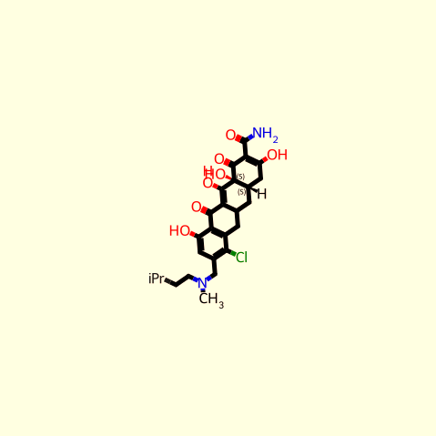 CC(C)CCN(C)Cc1cc(O)c2c(c1Cl)CC1C[C@H]3CC(O)=C(C(N)=O)C(=O)[C@@]3(O)C(O)=C1C2=O